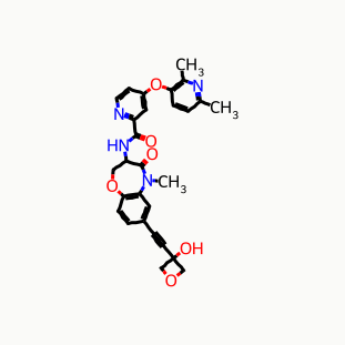 Cc1ccc(Oc2ccnc(C(=O)NC3COc4ccc(C#CC5(O)COC5)cc4N(C)C3=O)c2)c(C)n1